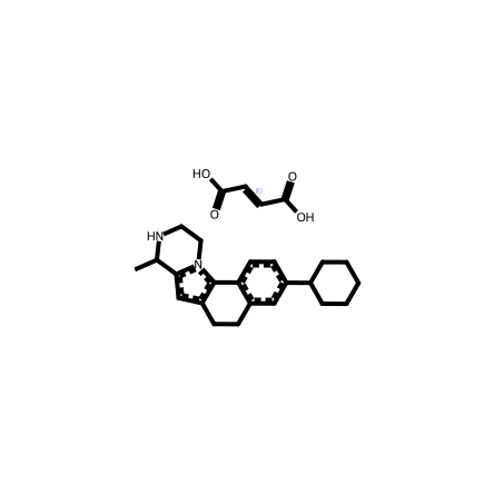 CC1NCCn2c1cc1c2-c2ccc(C3CCCCC3)cc2CC1.O=C(O)/C=C/C(=O)O